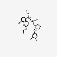 CCC[C@@H](OC[C@H](O)CN1CCC[C@H]1CC1=CC(F)C(C)C=C1)c1ccc(Cl)cc1CCC(=O)OCC